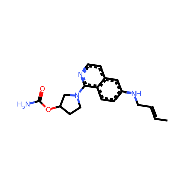 CC=CCNc1ccc2c(N3CCC(OC(N)=O)C3)nccc2c1